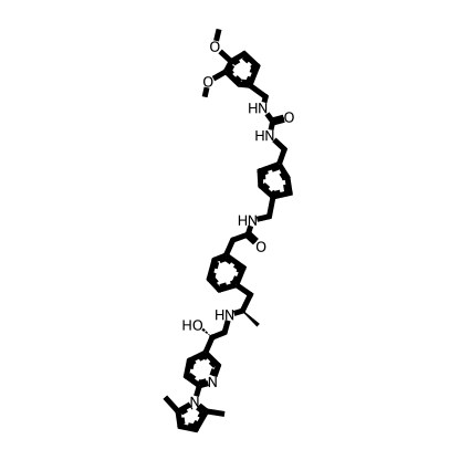 COc1ccc(CNC(=O)NCc2ccc(CNC(=O)Cc3cccc(C[C@@H](C)NC[C@@H](O)c4ccc(-n5c(C)ccc5C)nc4)c3)cc2)cc1OC